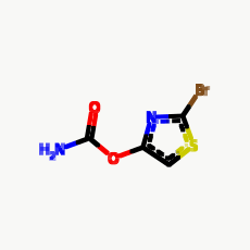 NC(=O)Oc1csc(Br)n1